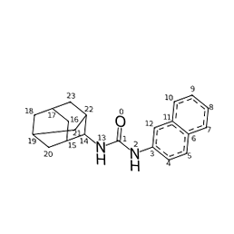 O=C(Nc1ccc2ccccc2c1)NC1C2CC3CC(C2)CC1C3